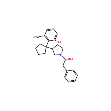 CC(=O)Oc1cccc(O)c1C1(C2CCN(C(=O)Cc3ccccc3)C2)CCCC1